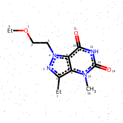 CCOCCn1nc(CC)c2c1c(=O)[nH]c(=O)n2C